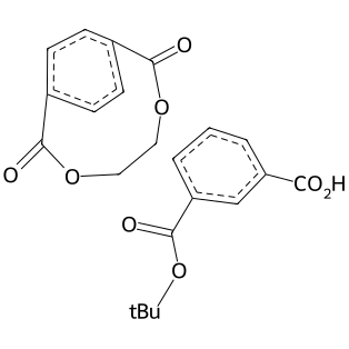 CC(C)(C)OC(=O)c1cccc(C(=O)O)c1.O=C1OCCOC(=O)c2ccc1cc2